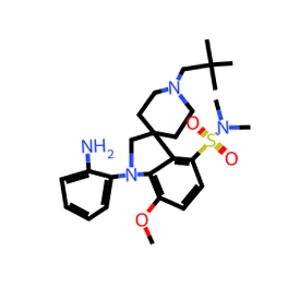 COc1ccc(S(=O)(=O)N(C)C)c2c1N(c1ccccc1N)CC21CCN(CC(C)(C)C)CC1